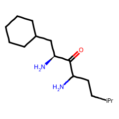 CC(C)CC[C](N)C(=O)[C@@H](N)CC1CCCCC1